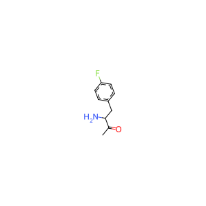 CC(=O)C(N)Cc1ccc(F)cc1